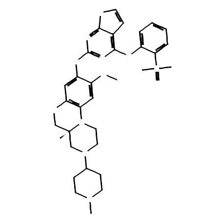 COc1cc2c(cc1Nc1nc(Nc3ccccc3P(C)(C)=O)c3cc[nH]c3n1)OC[C@H]1CN(C3CCN(C)CC3)CCN21